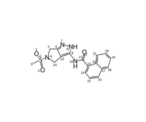 CS(=O)(=O)N1Cc2n[nH]c(NC(=O)c3cccc4ccccc34)c2C1